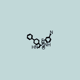 N#Cc1ccc(NS(=O)(=O)c2c[nH]c3c2CCC(c2ccccc2)C3)c(F)c1